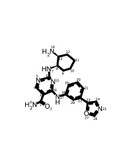 NC(=O)c1cnc(N[C@@H]2CCCC[C@@H]2N)nc1Nc1cccc(-c2cnco2)c1